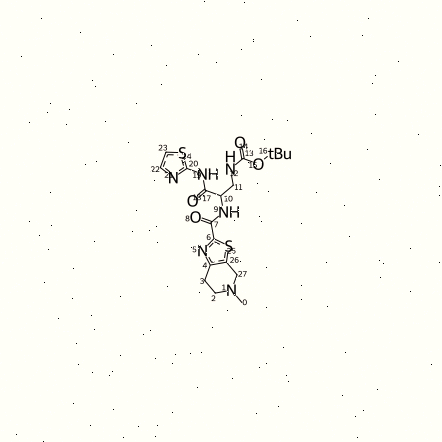 CN1CCc2nc(C(=O)NC(CNC(=O)OC(C)(C)C)C(=O)Nc3nccs3)sc2C1